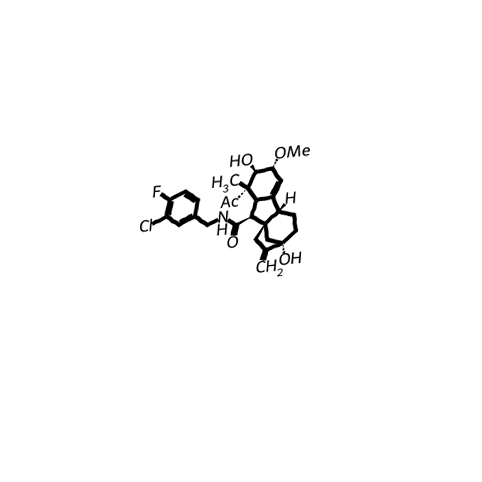 C=C1C[C@]23C[C@@]1(O)CC[C@H]2C1=C[C@@H](OC)[C@H](O)[C@@](C)(C(C)=O)C1[C@@H]3C(=O)NCc1ccc(F)c(Cl)c1